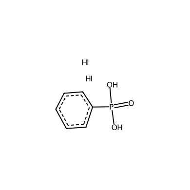 I.I.O=P(O)(O)c1ccccc1